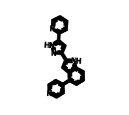 c1ccc(-c2cc(-c3cc4c(-c5ccncc5)cccc4[nH]3)n[nH]2)nc1